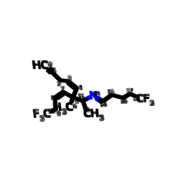 C#CC/C=C\C(C)(/C=C\CC(F)(F)F)C(C)/N=C/CCCC(F)(F)F